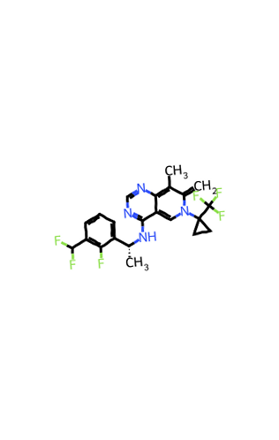 C=C1C(C)=c2ncnc(N[C@H](C)c3cccc(C(F)F)c3F)c2=CN1C1(C(F)(F)F)CC1